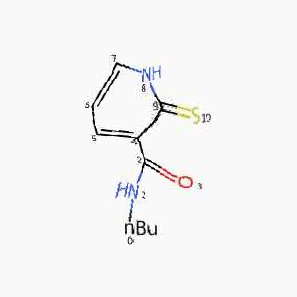 CCCCNC(=O)c1ccc[nH]c1=S